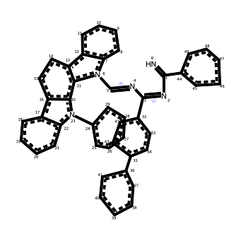 N=C(/N=C(\N=C\n1c2ccccc2c2ccc3c4ccccc4n(-c4ccccc4)c3c21)c1ccc(-c2ccccc2)cc1)c1ccccc1